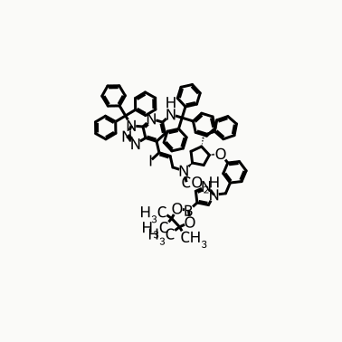 CC1(C)OB(c2cnn(Cc3cccc(O[C@@H]4C[C@@H](N(C/C=C(\I)c5cc(NC(c6ccccc6)(c6ccccc6)c6ccccc6)nc6c5nnn6C(c5ccccc5)(c5ccccc5)c5ccccc5)C(=O)O)C[C@@H]4Cc4ccccc4)c3)c2)OC1(C)C